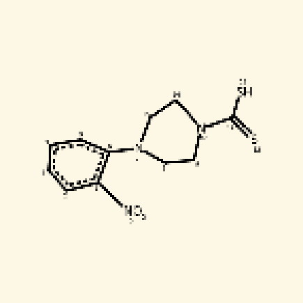 O=[N+]([O-])c1ccccc1N1CCN(C(=S)S)CC1